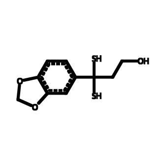 OCCC(S)(S)c1ccc2c(c1)OCO2